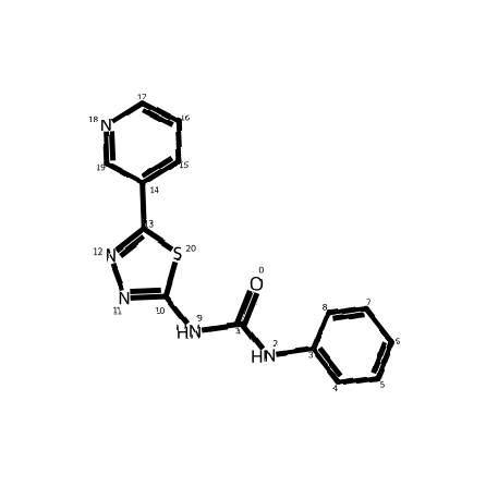 O=C(Nc1ccccc1)Nc1nnc(-c2cccnc2)s1